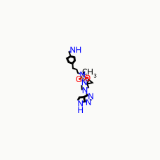 CN(CCCc1ccc(C=N)cc1)S(=O)(=O)N1CCN(c2ncnc3[nH]ccc23)CC12CC2